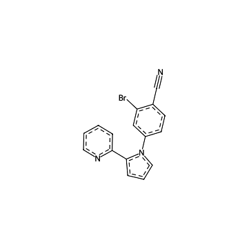 N#Cc1ccc(-n2cccc2-c2ccccn2)cc1Br